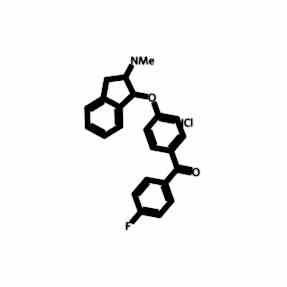 CNC1Cc2ccccc2C1Oc1ccc(C(=O)c2ccc(F)cc2)cc1.Cl